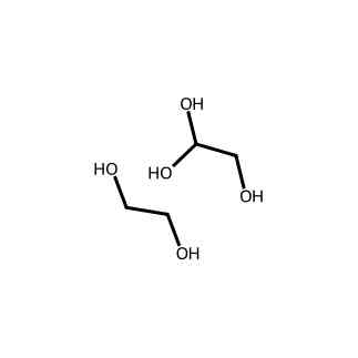 OCC(O)O.OCCO